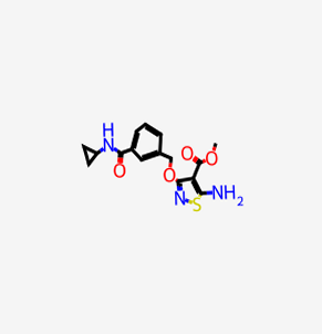 COC(=O)c1c(OCc2cccc(C(=O)NC3CC3)c2)nsc1N